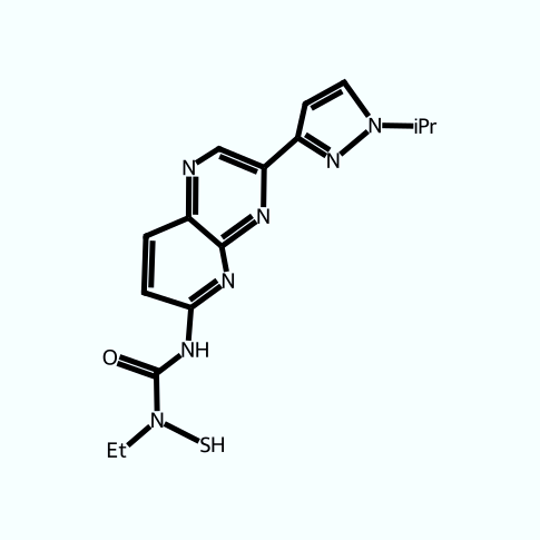 CCN(S)C(=O)Nc1ccc2ncc(-c3ccn(C(C)C)n3)nc2n1